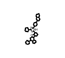 c1ccc(C2=NC(c3cccc4c3oc3cc(-c5ccccc5)c5ccccc5c34)NC(c3ccc(-c4ccc5ccccc5c4)cc3)=N2)cc1